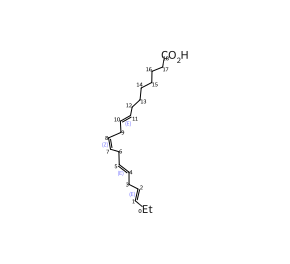 CC/C=C/C/C=C/C/C=C\C/C=C/CCCCCCC(=O)O